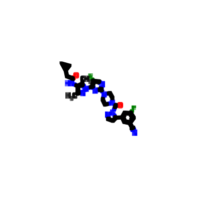 Cc1nn(-c2nc(N3CCN(C(=O)N4N=CCC4c4cc(F)cc(C#N)c4)CC3)ncc2F)c(C)c1NC(=O)CC1CC1